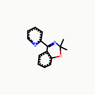 CC1(C)N=C(c2ccccn2)c2ccccc2O1